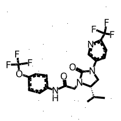 CC(C)[C@H]1CN(c2ccc(C(F)(F)F)nc2)C(=O)N1CC(=O)Nc1ccc(OC(F)(F)F)cc1